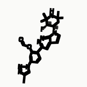 Cc1cn(-c2ccc(-c3cc4ccn([C@H]5CC(C)(C)NC(C)(C)[C@H]5F)c4nn3)c(OC=O)c2)nn1